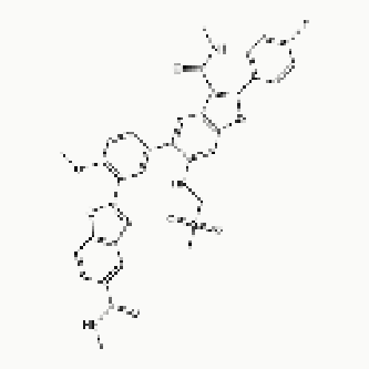 CNC(=O)c1ccc2oc(-c3cc(-c4cc5c(C(=O)NC)c(-c6ccc(F)cc6)oc5cc4NCS(C)(=O)=O)ccc3OC)nc2c1